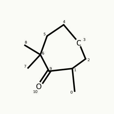 CC1CCCCC(C)(C)C1=O